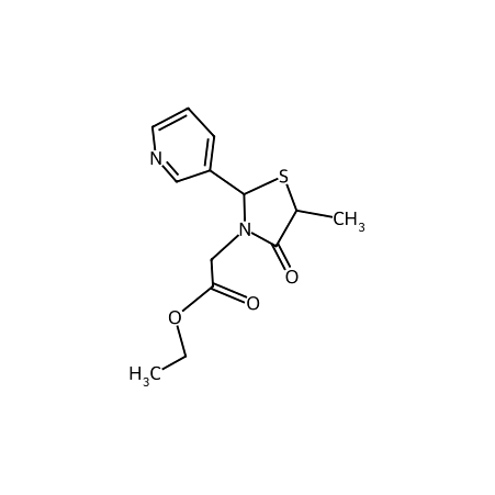 CCOC(=O)CN1C(=O)C(C)SC1c1cccnc1